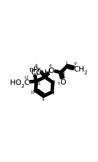 C=CC(=O)OC1(CCC)CCC=CC1(C(=O)O)C(=O)O